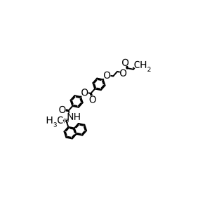 C=CC(=O)OCCOc1ccc(C(=O)Oc2ccc(C(=O)N[C@@H](C)c3cccc4ccccc34)cc2)cc1